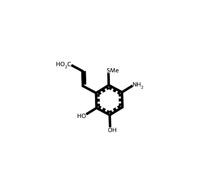 CSc1c(N)cc(O)c(O)c1/C=C/C(=O)O